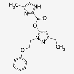 CCc1cc(OC(=O)c2nc(C)c[nH]2)n(CCOc2ccccc2)n1